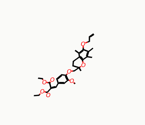 C=CCOc1c(C)c(C)c2c(c1C)CCC(C)(COc1ccc(C=C(C(=O)OCC)C(=O)OCC)cc1OC)O2